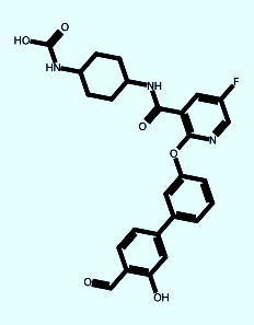 O=Cc1ccc(-c2cccc(Oc3ncc(F)cc3C(=O)NC3CCC(NC(=O)O)CC3)c2)cc1O